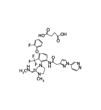 CNC[C@H]1CN(c2c(NC(=O)Cc3ccn(-c4ccnnc4)n3)ccc(Oc3ccccc3F)c2C(F)(F)F)CCN1C.O=C(O)CCC(=O)O